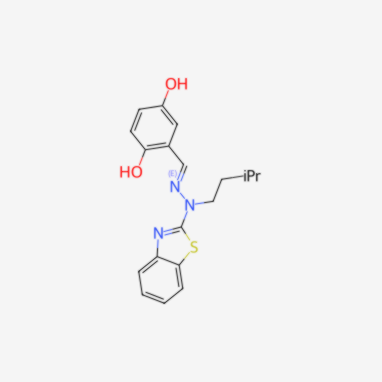 CC(C)CCN(/N=C/c1cc(O)ccc1O)c1nc2ccccc2s1